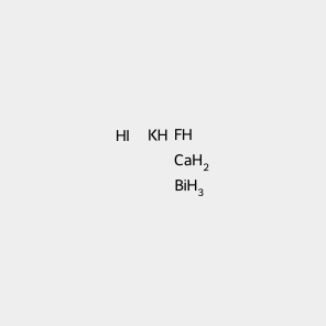 F.I.[BiH3].[CaH2].[KH]